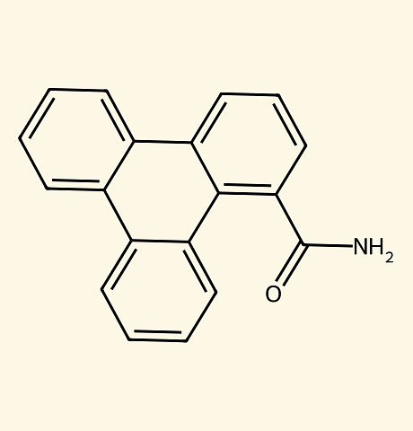 NC(=O)c1cccc2c3ccccc3c3ccccc3c12